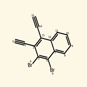 C#Cc1c(Br)c(Br)c2ccccc2c1C#C